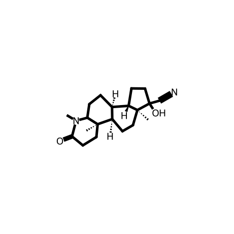 CN1C(=O)CC[C@@]2(C)C1CC[C@@H]1[C@H]2CC[C@@]2(C)[C@H]1CCC2(O)C#N